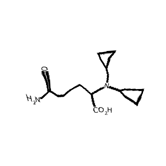 NC(=O)CCC(C(=O)O)N(C1CC1)C1CC1